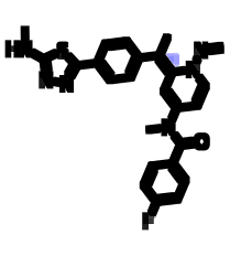 C=NN1C=CC(N(C)C(=O)c2ccc(F)cc2)=C/C1=C(/C)c1ccc(-c2nnc(NC)s2)cc1